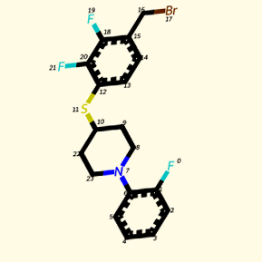 Fc1ccccc1N1CCC(Sc2ccc(CBr)c(F)c2F)CC1